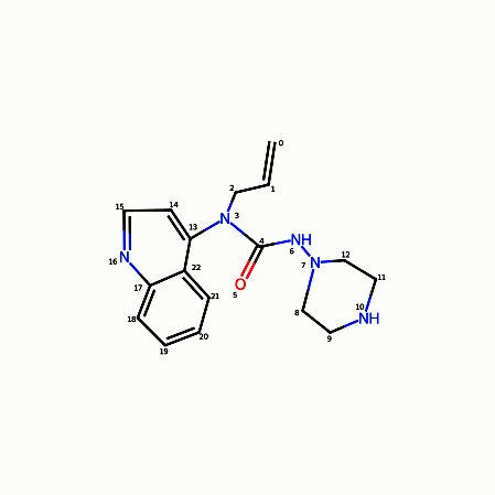 C=CCN(C(=O)NN1CCNCC1)c1ccnc2ccccc12